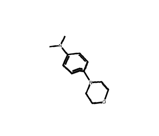 CN(C)c1ccc(N2CCOCC2)cc1